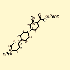 CCCCCOC(=O)C1CCC([C@H]2CC[C@H]([C@H]3CC[C@H](CCC)CC3)CC2)CC1=O